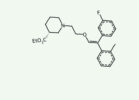 CCOC(=O)[C@@H]1CCCN(CCO/C=C(\c2cccc(F)c2)c2ccccc2C)C1